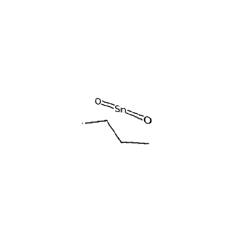 [CH2]CCC.[O]=[Sn]=[O]